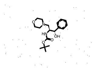 CC(C)(C)OC(=O)N[C@@H](CN1CCOCC1)[C@@H](O)c1ccccc1